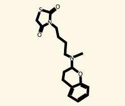 CN(CCCCN1C(=O)CSC1=O)C1CCc2ccccc2O1